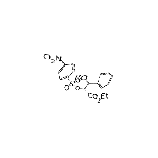 CCOC(=O)[C@H](OS(=O)(=O)c1ccc([N+](=O)[O-])cc1)[C@@H](O)c1ccccc1